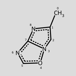 Cc1cn2ocnc2n1